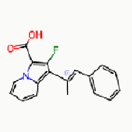 C/C(=C\c1ccccc1)c1c(F)c(C(=O)O)n2ccccc12